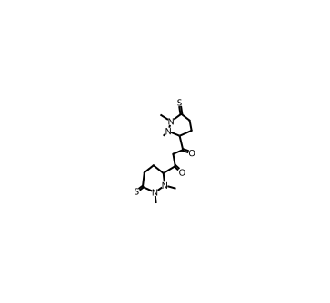 CN1C(=S)CCC(C(=O)CC(=O)C2CCC(=S)N(C)N2C)N1C